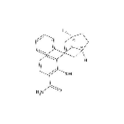 NC(=O)c1cccc(C2=C[C@H]3CC[C@@H](C2)N3Cc2ccccc2)c1O